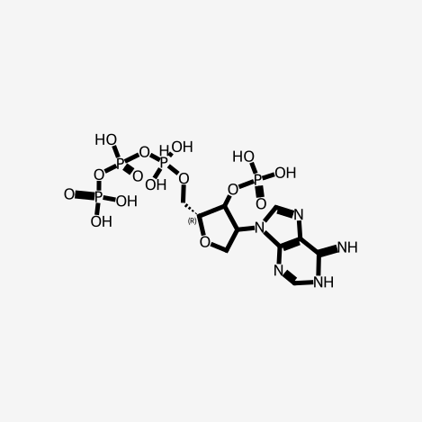 N=c1[nH]cnc2c1ncn2C1CO[C@H](CO[PH](O)(O)OP(=O)(O)OP(=O)(O)O)C1OP(=O)(O)O